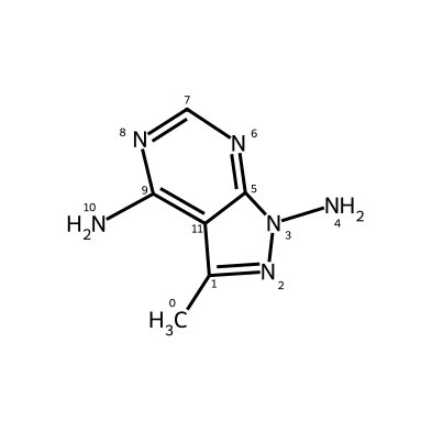 Cc1nn(N)c2ncnc(N)c12